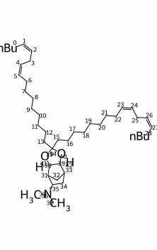 CCCC/C=C\C/C=C\CCCCCCCCC1(CCCCCCCC/C=C\C/C=C\CCCC)O[C@@H]2C3CC(C[C@H]3N(C)C)[C@@H]2O1